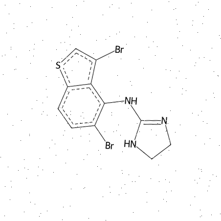 Brc1ccc2scc(Br)c2c1NC1=NCCN1